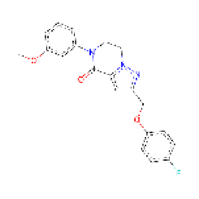 COc1cccc(N2CCn3nc(COc4ccc(F)cc4)cc3C2=O)c1